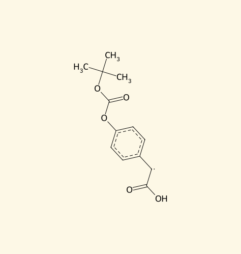 CC(C)(C)OC(=O)Oc1ccc([CH]C(=O)O)cc1